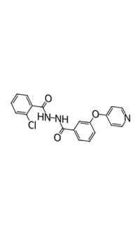 O=C(NNC(=O)c1ccccc1Cl)c1cccc(Oc2ccncc2)c1